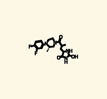 CC(CC1NC(O)NC1=O)C(=O)N1CCN(c2ccc(F)c(F)c2)[C@@H](C)C1